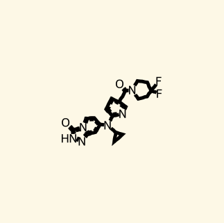 O=C(c1ccc(N(c2ccn3c(=O)[nH]nc3c2)C2CC2)nc1)N1CCC(F)(F)CC1